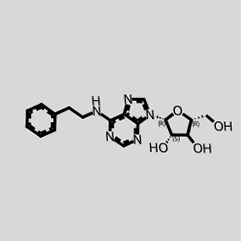 OC[C@H]1O[C@@H](n2cnc3c(NCCc4ccccc4)ncnc32)[C@@H](O)C1O